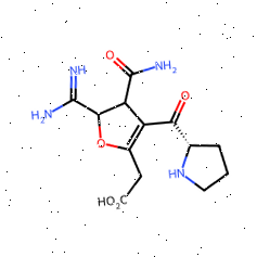 N=C(N)C1OC(CC(=O)O)=C(C(=O)[C@@H]2CCCN2)C1C(N)=O